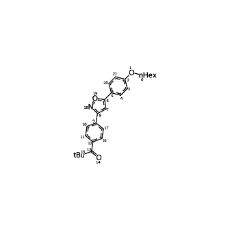 CCCCCCOc1ccc(-c2cc(-c3ccc(C(=O)C(C)(C)C)cc3)no2)cc1